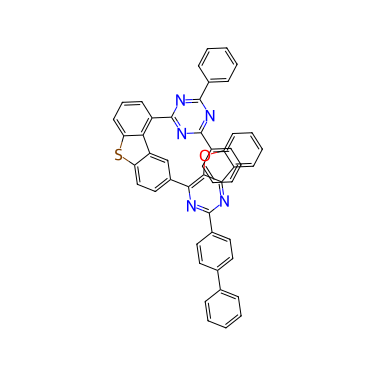 c1ccc(-c2ccc(-c3nc(-c4ccc5sc6cccc(-c7nc(-c8ccccc8)nc(-c8ccccc8)n7)c6c5c4)c4oc5ccccc5c4n3)cc2)cc1